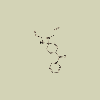 C=CCNC1(NCC=C)C=CC(C(=O)c2ccccc2)=CC1